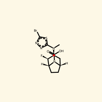 CN(c1nnc(Br)s1)[C@H]1C[C@@H]2CC[C@H]([C@H]1F)N2C(=O)O